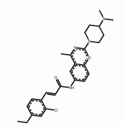 CCc1ccc(/C=C/C(=O)Nc2ccc3nc(N4CCC(N(C)C)CC4)nc(C)c3c2)c(Cl)c1